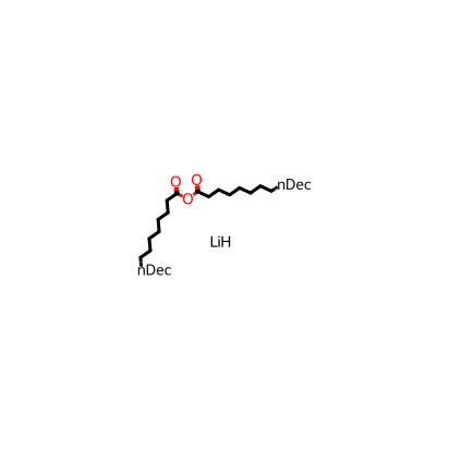 CCCCCCCCCCCCCCCCCC(=O)OC(=O)CCCCCCCCCCCCCCCCC.[LiH]